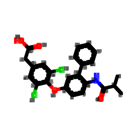 CC(C)C(=O)Nc1ccc(Oc2c(Cl)cc(CC(=O)O)cc2Cl)cc1-c1ccccc1